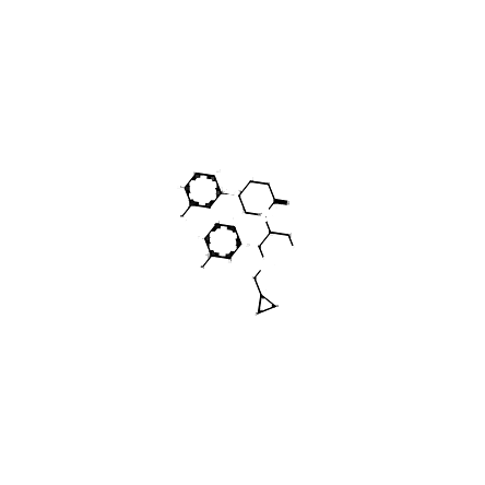 CCC(COCC1CC1)N1C(=O)CC[C@H](c2cccc(Cl)c2)[C@H]1c1ccc(Cl)cc1